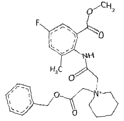 COC(=O)c1cc(F)cc(C)c1NC(=O)C[N+]1(CC(=O)OCc2ccccc2)CCCCC1